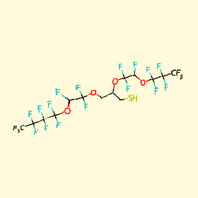 FC(OC(F)(F)C(F)(F)C(F)(F)C(F)(F)F)C(F)(F)OCC(CS)OC(F)(F)C(F)OC(F)(F)C(F)(F)C(F)(F)F